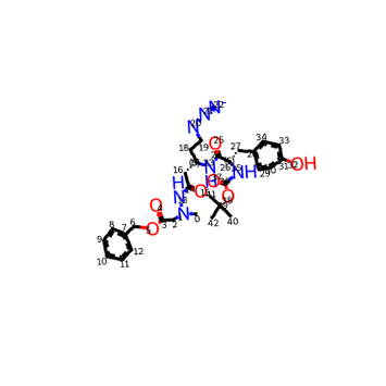 CN(CC(=O)OCc1ccccc1)NC(=O)C[C@H](CCN=[N+]=[N-])NC(=O)[C@H](Cc1ccc(O)cc1)NC(=O)OC(C)(C)C